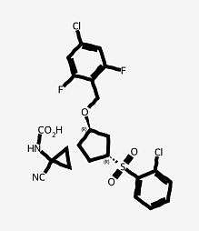 N#CC1(NC(=O)O)CC1.O=S(=O)(c1ccccc1Cl)[C@@H]1CC[C@@H](OCc2c(F)cc(Cl)cc2F)C1